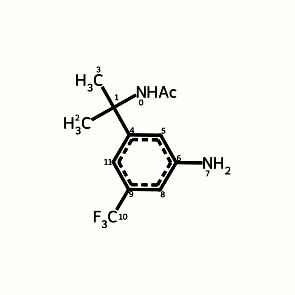 CC(=O)NC(C)(C)c1cc(N)cc(C(F)(F)F)c1